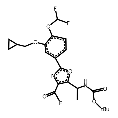 CC(NC(=O)OC(C)(C)C)c1oc(-c2ccc(OC(F)F)c(OCC3CC3)c2)nc1C(=O)F